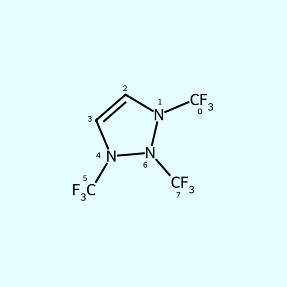 FC(F)(F)N1C=CN(C(F)(F)F)N1C(F)(F)F